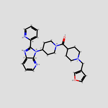 O=C(C1CCN(Cc2ccoc2)CC1)N1CCC(n2c(-c3ccccn3)nc3cccnc32)CC1